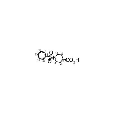 O=C(O)C1CCN(S(=O)(=O)c2ccccc2)CC1